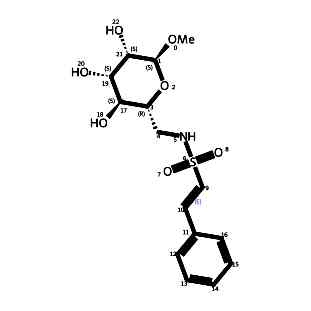 CO[C@H]1O[C@H](CNS(=O)(=O)/C=C/c2ccccc2)[C@@H](O)[C@H](O)[C@@H]1O